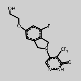 O=c1[nH]ncc(N2Cc3cc(OCCO)cc(F)c3C2)c1C(F)(F)F